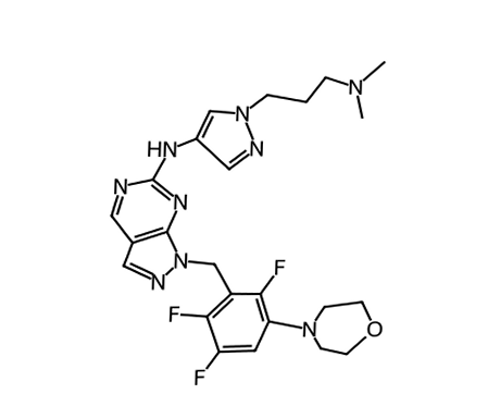 CN(C)CCCn1cc(Nc2ncc3cnn(Cc4c(F)c(F)cc(N5CCOCC5)c4F)c3n2)cn1